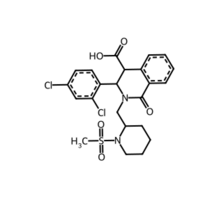 CS(=O)(=O)N1CCCCC1CN1C(=O)c2ccccc2C(C(=O)O)C1c1ccc(Cl)cc1Cl